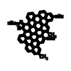 CCCCc1cc2ccc3c4cccc5c4c4c6c3c2c(c1)c1cc(C)c2c3c(CCCC)cc7c8cc(C)cc9ccc%10c%11cccc%12c%11c%11c(c%10c98)c7c3c3c(c2c16)c4c1c5c2nn(CCCC)nc2c%12c1c%113